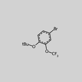 CC(C)(C)Oc1ccc(Br)cc1OC(F)(F)F